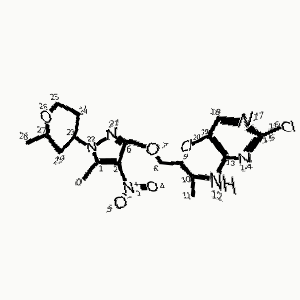 Cc1c([N+](=O)[O-])c(OCCC(C)Nc2nc(Cl)ncc2Cl)nn1C1CCOC(C)C1